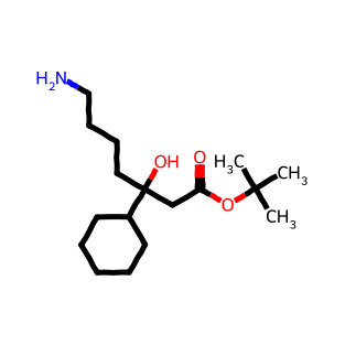 CC(C)(C)OC(=O)CC(O)(CCCCN)C1CCCCC1